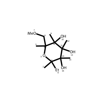 CCC1(C)OC(C)(COC)C(C)(O)C(C)(O)C1(C)O